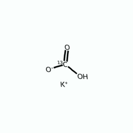 O=[13C]([O-])O.[K+]